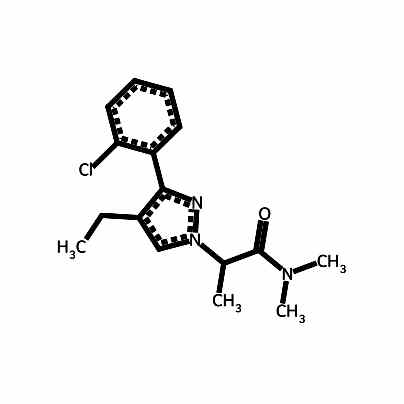 CCc1cn(C(C)C(=O)N(C)C)nc1-c1ccccc1Cl